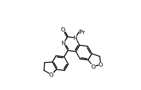 CC(C)n1c(=O)nc(-c2ccc3c(c2)CCO3)c2cc3c(cc21)COO3